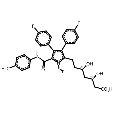 Cc1ccc(NC(=O)c2c(-c3ccc(F)cc3)c(-c3ccc(F)cc3)c(CC[C@@H](O)C[C@@H](O)CC(=O)O)n2C(C)C)cc1